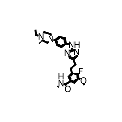 CCN1CCN(c2ccc(Nc3ncc(CCc4cc(C(=O)NC)cc(OC)c4F)cn3)cc2)C[C@H]1C